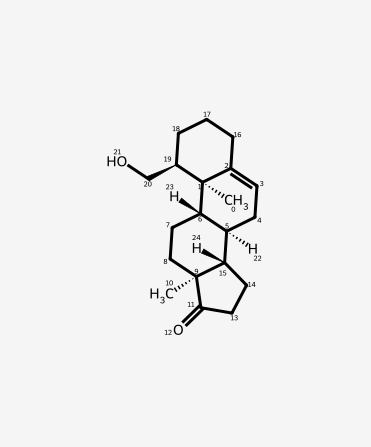 C[C@]12C(=CC[C@@H]3[C@@H]1CC[C@]1(C)C(=O)CC[C@@H]31)CCC[C@@H]2CO